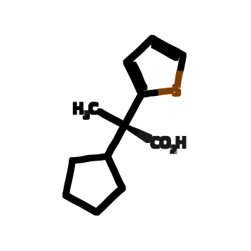 C[C@](C(=O)O)(c1cccs1)C1CCCC1